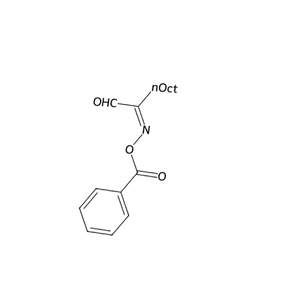 CCCCCCCCC(C=O)=NOC(=O)c1ccccc1